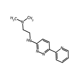 CN(C)CCNc1ccc(-c2ccccn2)nn1